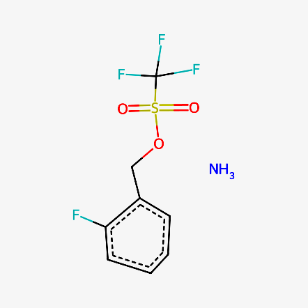 N.O=S(=O)(OCc1ccccc1F)C(F)(F)F